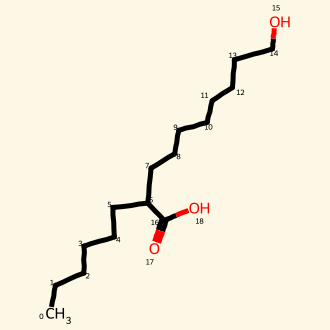 CCCCCCC(CCCCCCCCO)C(=O)O